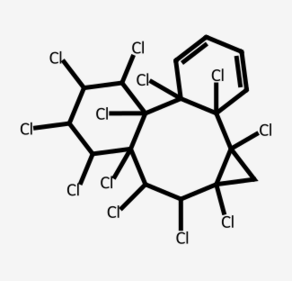 ClC1C(Cl)C(Cl)C2(Cl)C(Cl)(C1Cl)C(Cl)C(Cl)C1(Cl)CC1(Cl)C1(Cl)C=CC=CC12Cl